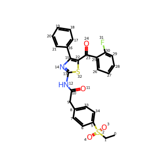 CCS(=O)(=O)c1ccc(CC(=O)Nc2nc(-c3ccccc3)c(C(=O)c3ccccc3F)s2)cc1